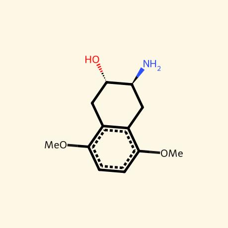 COc1ccc(OC)c2c1C[C@H](N)[C@@H](O)C2